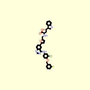 O=C(O)C(CCC1C=Nc2ccccc21)NCc1ccc(-c2ccc3ncnc(Nc4ccc(OCc5cccc(F)c5)c(Cl)c4)c3c2)o1